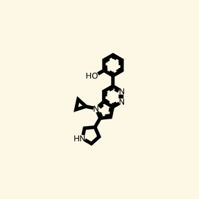 Oc1ccccc1-c1cc2c(cc(C3CCNC3)n2C2CC2)nn1